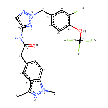 Cc1nn(C)c2ccc(CC(=O)Nc3cnn(Cc4ccc(OC(F)(F)F)c(F)c4)n3)cc12